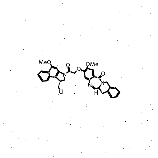 COc1cc2c(cc1OCC(=O)N1C[C@@H](CCl)c3c1cc(OC)c1ccccc31)N=C[C@@H]1Cc3ccccc3CN1C2=O